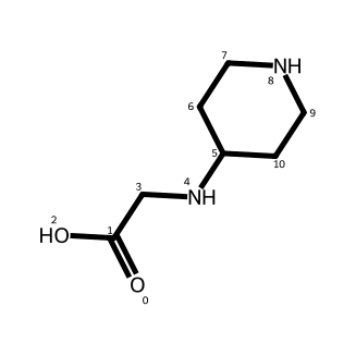 O=C(O)CNC1CCNCC1